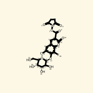 O=C(ON1C(=O)CCC1=O)c1cc2cc(Cl)c(O[C@@H]3OC(CO)[C@@H](O)[C@@H](O)C3O)c(F)c2oc1=O